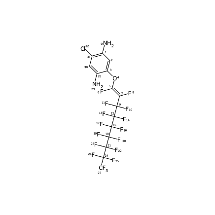 Nc1cc(OC(F)=C(F)C(F)(F)C(F)(F)C(F)(F)C(F)(F)C(F)(F)C(F)(F)C(F)(F)F)c(N)cc1Cl